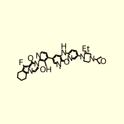 CC[C@H]1CN(C2COC2)CCN1c1ccc(Nc2cc(-c3ccnc(-n4ccn5c6c(c(F)c5c4=O)CCCC6)c3CO)cn(C)c2=O)nc1